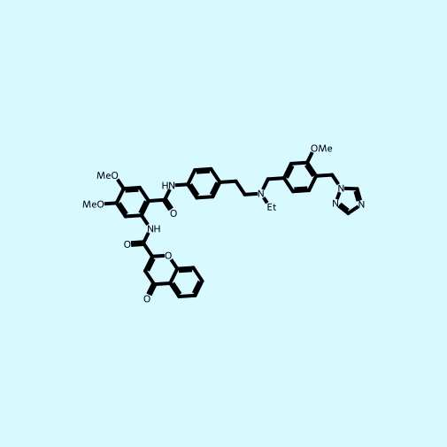 CCN(CCc1ccc(NC(=O)c2cc(OC)c(OC)cc2NC(=O)c2cc(=O)c3ccccc3o2)cc1)Cc1ccc(Cn2cncn2)c(OC)c1